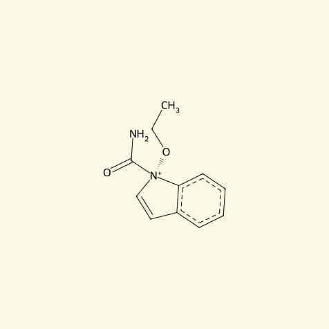 CCO[N@@+]1(C(N)=O)C=Cc2ccccc21